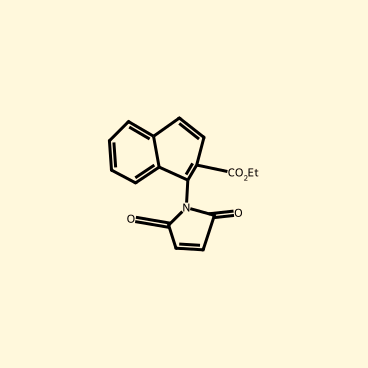 CCOC(=O)c1ccc2ccccc2c1N1C(=O)C=CC1=O